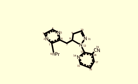 CCCc1nccnc1CC1CC=NN1c1ncccc1C#N